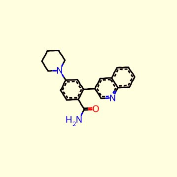 NC(=O)c1ccc(N2CCCCC2)cc1-c1cnc2ccccc2c1